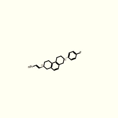 CCCC=C[C@H]1CCc2c(ccc3c2CC[C@H](c2ccc(F)cc2)C3)C1